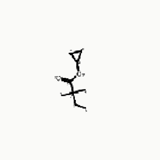 CCC(C)(C)C(=O)OC1CC1